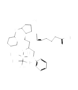 CC(C)(C)[Si](C)(C)OC(CC[C@H]1C(OC2CCCCO2)C[C@H](O)[C@@H]1C/C=C\CCCC(=O)O)COc1ccccc1